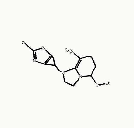 CCOC1CCC([N+](=O)[O-])=C2N1CCN2C1c2nc(Cl)sc21